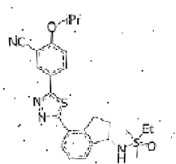 CCS(C)(C)(=O)N[C@H]1CCc2c(-c3nnc(-c4ccc(OC(C)C)c(C#N)c4)s3)cccc21